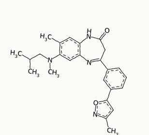 Cc1cc(-c2cccc(C3=Nc4cc(N(C)CC(C)C)c(C)cc4NC(=O)C3)c2)on1